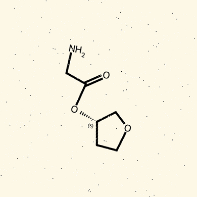 NCC(=O)O[C@H]1CCOC1